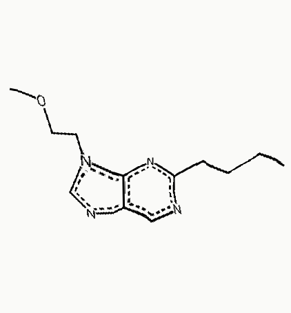 CCCCc1ncc2ncn(CCOC)c2n1